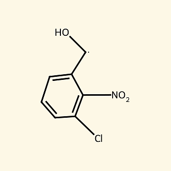 O=[N+]([O-])c1c(Cl)cccc1[CH]O